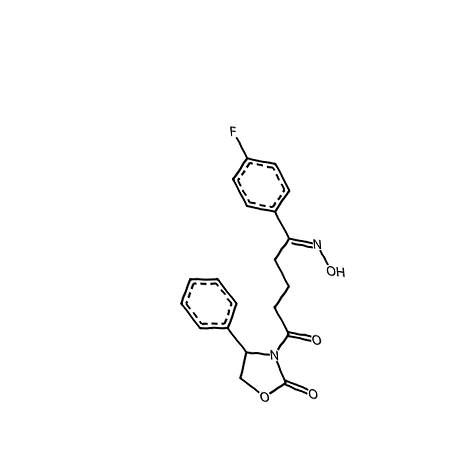 O=C(CCCC(=NO)c1ccc(F)cc1)N1C(=O)OCC1c1ccccc1